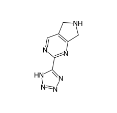 c1nc(-c2nnn[nH]2)nc2c1CNC2